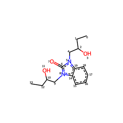 CCC(O)Cn1c(=O)n(CC(O)CC)c2ccccc21